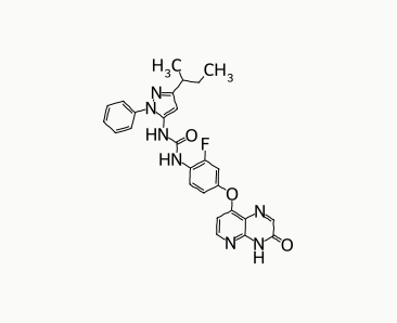 CCC(C)c1cc(NC(=O)Nc2ccc(Oc3ccnc4[nH]c(=O)cnc34)cc2F)n(-c2ccccc2)n1